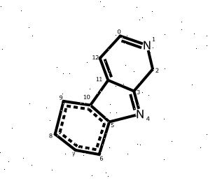 C1=NCC2=Nc3ccccc3C2=C1